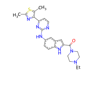 CCN1CCN(C(=O)c2cc3cc(Nc4nccc(-c5nc(C)sc5C)n4)ccc3[nH]2)CC1